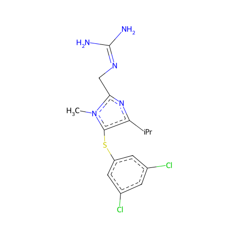 CC(C)c1nc(CN=C(N)N)n(C)c1Sc1cc(Cl)cc(Cl)c1